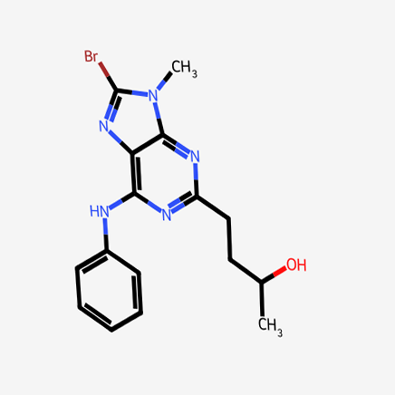 CC(O)CCc1nc(Nc2ccccc2)c2nc(Br)n(C)c2n1